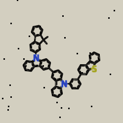 CC1(C)c2ccccc2-c2ccc(-n3c4ccccc4c4cc(-c5ccc6c(c5)c5ccccc5n6-c5cccc(-c6ccc7c(c6)sc6ccccc67)c5)ccc43)cc21